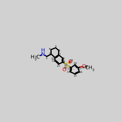 CNCC1CCCc2cc(S(=O)(=O)c3cccc(OC)c3)ccc21